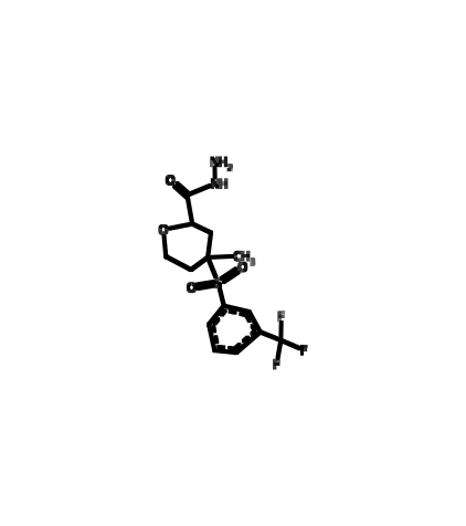 CC1(S(=O)(=O)c2cccc(C(F)(F)F)c2)CCOC(C(=O)NN)C1